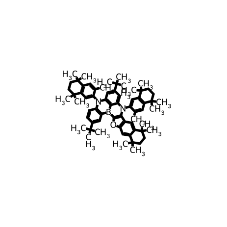 Cc1cc2c(cc1N1c3ccc(C(C)(C)C)cc3B3c4oc5cc6c(cc5c4N(c4cc5c(cc4C)C(C)(C)CCC5(C)C)c4cc(C(C)(C)C)cc1c43)C(C)(C)CCC6(C)C)C(C)(C)CCC2(C)C